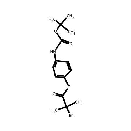 CC(C)(C)OC(=O)Nc1ccc(OC(=O)C(C)(C)Br)cc1